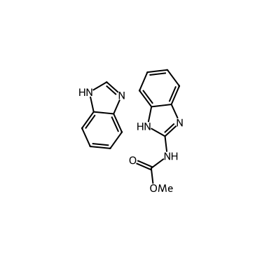 COC(=O)Nc1nc2ccccc2[nH]1.c1ccc2[nH]cnc2c1